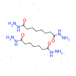 NNC(=O)CCCCCC(=O)NN.NNC(=O)CCCCCCC(=O)NN